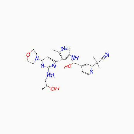 Cc1ncc(NC(O)c2ccnc(C(C)(C)C#N)c2)cc1-c1cc(N2CCOCC2)nc(NC[C@H](C)O)n1